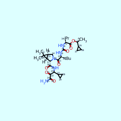 CC(OC(=O)[C@@H](NC(=O)N[C@H](C(=O)N1C[C@H]2[C@@H]([C@H]1C(=O)NC(C(=O)C(N)=O)C1CC1)C2(C)C)C(C)(C)C)C(C)C)C1CC1